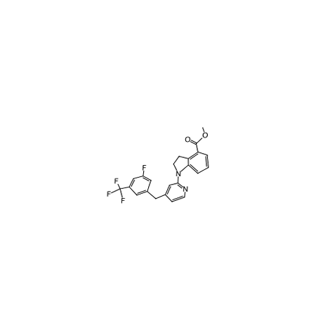 COC(=O)c1cccc2c1CCN2c1cc(Cc2cc(F)cc(C(F)(F)F)c2)ccn1